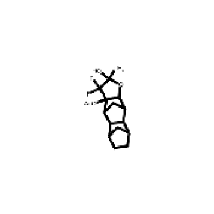 CC(=O)OC12C3CC(C4C5CCC(C5)C43)C1OC(O)(C(F)(F)F)C2(F)F